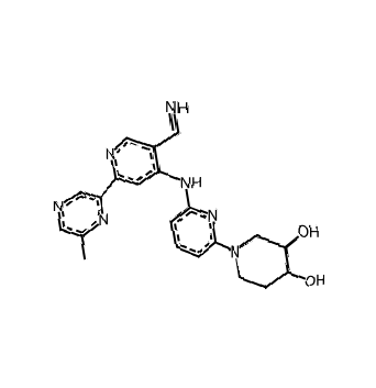 Cc1cncc(-c2cc(Nc3cccc(N4CCC(O)C(O)C4)n3)c(C=N)cn2)n1